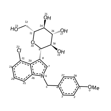 COc1ccc(Cn2cc([C@@H]3O[C@H](CO)[C@@H](O)[C@H](O)[C@H]3O)c3c(Cl)cccc32)cc1